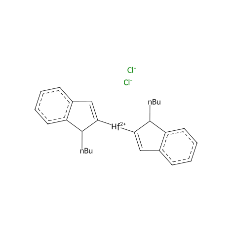 CCCCC1[C]([Hf+2][C]2=Cc3ccccc3C2CCCC)=Cc2ccccc21.[Cl-].[Cl-]